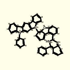 c1ccc(C2=c3ccccc3=NC(c3cccc4oc5c(-n6c7ccccc7c7cc8c9ccccc9n(-c9ccccc9)c8cc76)cccc5c34)N2)cc1